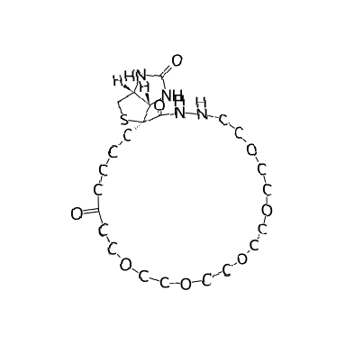 O=C1CCCC[C@@]2(SC[C@@H]3NC(=O)N[C@@H]32)C(=O)NNCCOCCOCCOCCOCCOCC1